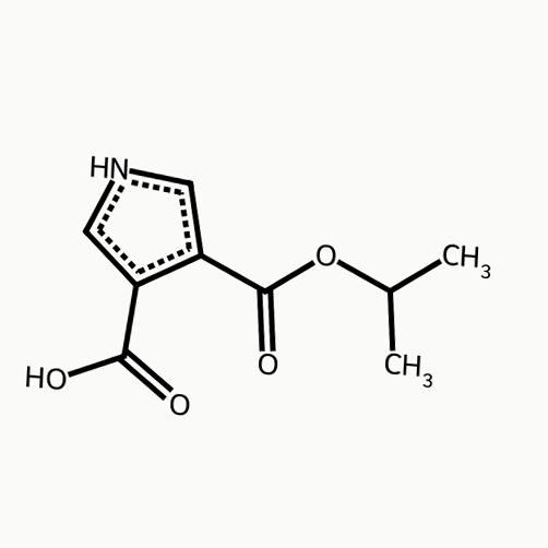 CC(C)OC(=O)c1c[nH]cc1C(=O)O